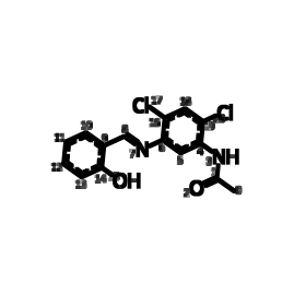 CC(=O)Nc1cc(/N=C/c2ccccc2O)c(Cl)cc1Cl